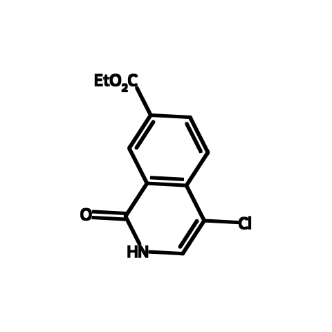 CCOC(=O)c1ccc2c(Cl)c[nH]c(=O)c2c1